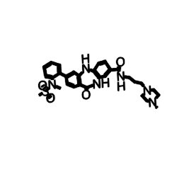 CN1CCN(CCCNC(=O)c2ccc3c(c2)NC(=O)c2ccc(-c4ccccc4N(C)S(C)(=O)=O)cc2N3)CC1